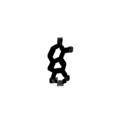 CC(C)Oc1cc2c(=O)[nH]ccc2cc1C#N